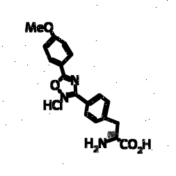 COc1ccc(-c2nc(-c3ccc(C[C@H](N)C(=O)O)cc3)no2)cc1.Cl